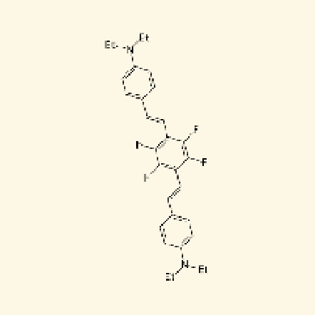 CCN(CC)c1ccc(C=Cc2c(F)c(F)c(C=Cc3ccc(N(CC)CC)cc3)c(F)c2F)cc1